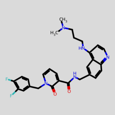 CN(C)CCCNc1ccnc2ccc(CNC(=O)c3cccn(Cc4ccc(F)c(F)c4)c3=O)cc12